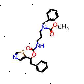 COC(=O)N(CCCNC(=O)OC(Cc1ccccc1)c1cncs1)Cc1ccccc1